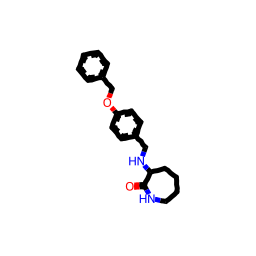 O=C1NCCCCC1NCc1ccc(OCc2ccccc2)cc1